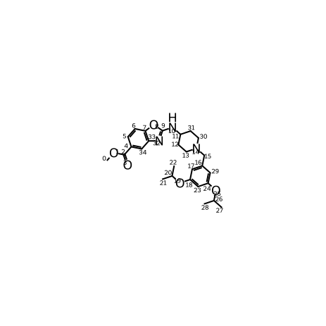 COC(=O)c1ccc2oc(NC3CCN(Cc4cc(OC(C)C)cc(OC(C)C)c4)CC3)nc2c1